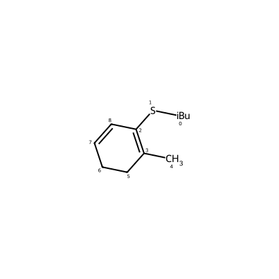 CCC(C)SC1=C(C)CCC=C1